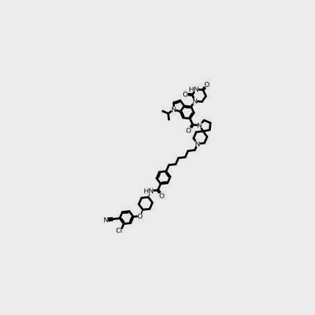 CC(C)n1ccc2c(N3CCC(=O)NC3=O)cc(C(=O)N3CCCC34CCN(CCCCCCc3ccc(C(=O)N[C@H]5CC[C@H](Oc6ccc(C#N)c(Cl)c6)CC5)cc3)CC4)cc21